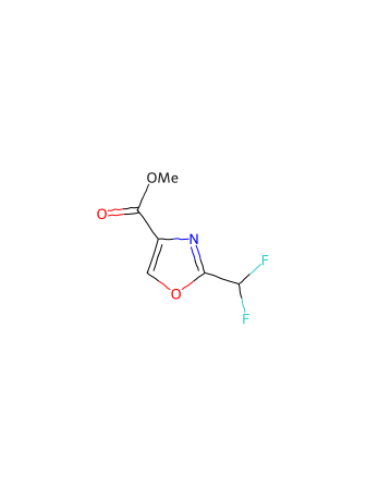 COC(=O)c1coc(C(F)F)n1